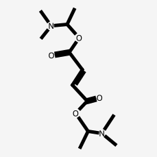 CC(OC(=O)/C=C/C(=O)OC(C)N(C)C)N(C)C